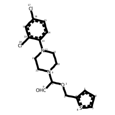 O=CC(OCc1cccs1)N1CCN(c2ccc(Cl)cc2Cl)CC1